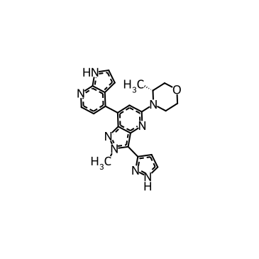 C[C@@H]1COCCN1c1cc(-c2ccnc3[nH]ccc23)c2nn(C)c(-c3cc[nH]n3)c2n1